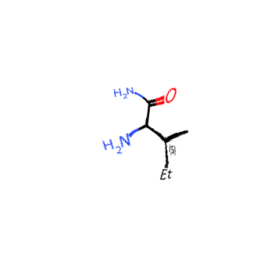 CC[C@H](C)C(N)C(N)=O